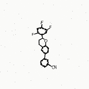 N#Cc1cccc(-c2ccc3c(c2)CCC(c2cc(F)c(F)cc2F)O3)c1